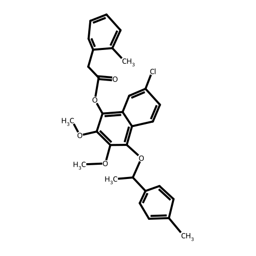 COc1c(OC)c(OC(C)c2ccc(C)cc2)c2ccc(Cl)cc2c1OC(=O)Cc1ccccc1C